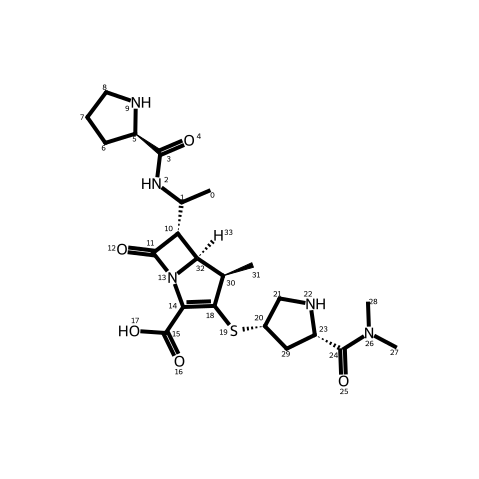 CC(NC(=O)[C@H]1CCCN1)[C@H]1C(=O)N2C(C(=O)O)=C(S[C@@H]3CN[C@H](C(=O)N(C)C)C3)[C@H](C)[C@H]12